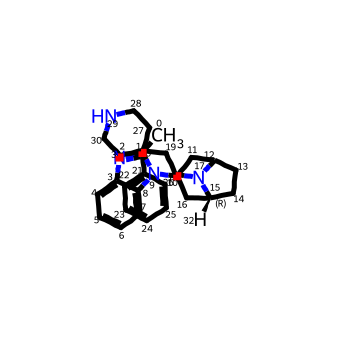 Cc1nc2ccccc2n1C1CC2CC[C@H](C1)N2CCC1(c2ccccc2)CCNCC1